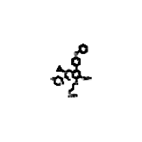 COCCCOc1cc(CN(C(=O)[C@H]2CNCCO2)C2CC2)c(-c2ccc(Oc3ccccc3)cc2)cc1OC